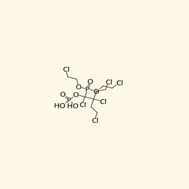 O=P(O)(O)OC(Cl)(C(Cl)(CCCl)CCCl)P(=O)(OCCCl)OCCCl